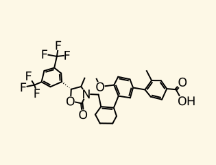 COc1ccc(-c2ccc(C(=O)O)cc2C)cc1C1=C(CN2C(=O)O[C@H](c3cc(C(F)(F)F)cc(C(F)(F)F)c3)C2C)CCCC1